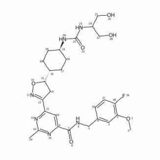 COc1cc(CNC(=O)c2cc(C3=NOC([C@H]4CC[C@H](NC(=O)NC(CO)CO)CC4)C3)nc(C)n2)ccc1F